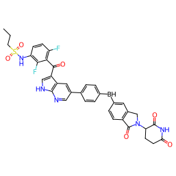 CCCS(=O)(=O)Nc1ccc(F)c(C(=O)c2c[nH]c3ncc(-c4ccc(Bc5ccc6c(c5)CN(C5CCC(=O)NC5=O)C6=O)cc4)cc23)c1F